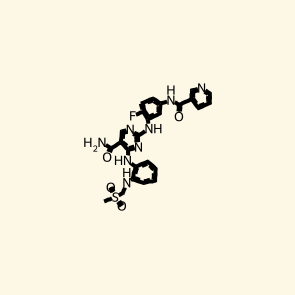 CS(=O)(=O)CNc1ccccc1Nc1nc(Nc2cc(NC(=O)c3cccnc3)ccc2F)ncc1C(N)=O